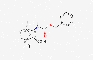 O=C(N[C@H]1[C@@H](C(=O)O)[C@H]2C=C[C@@H]1C2)OCc1ccccc1